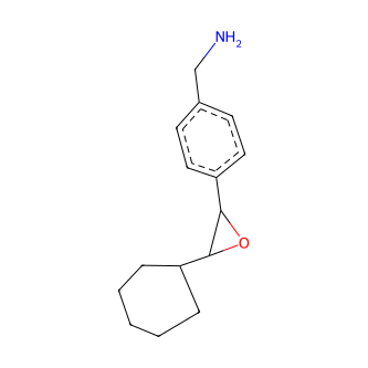 NCc1ccc(C2OC2C2CCCCC2)cc1